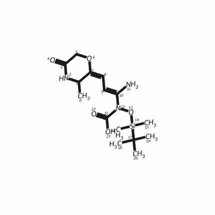 CC1NC(=O)CO/C1=C/C=C(\N)N(O[Si](C)(C)C(C)(C)C)C(=O)O